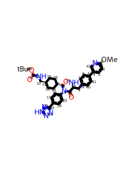 COc1ccc(-c2ccc(C[C@H](N)C(=O)N(c3ccc(-c4nn[nH]n4)cc3)C(=O)[C@H]3CC[C@H](CNC(=O)OC(C)(C)C)CC3)cc2)cn1